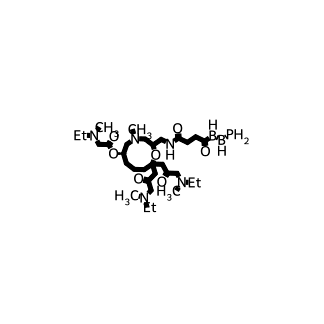 CCN(C)CC(=O)CC1(CC(=O)CN(C)CC)CCC[C@@H](OC(=O)CN(C)CC)CN(C)CC(CNC(=O)CCC(=O)BBP)O1